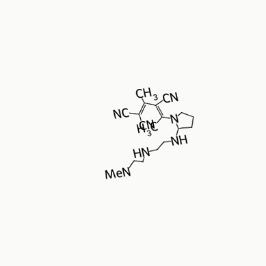 CNCCNCCNC1CCCN1/C(C)=C(\C#N)C(C)=C(C#N)C#N